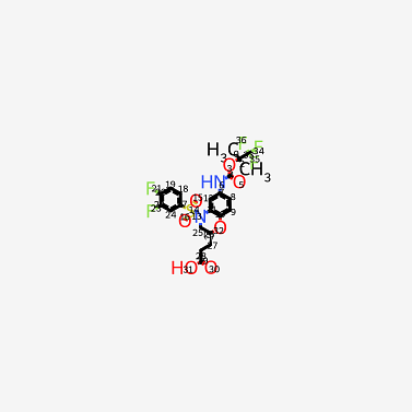 CC(C)(OC(=O)Nc1ccc2c(c1)N(S(=O)(=O)c1ccc(F)c(F)c1)C[C@H](CCC(=O)O)O2)C(F)(F)F